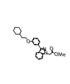 COC(=O)Cn1nc(-c2cccc(OCCC3CCCCC3)c2)c2ccccc21